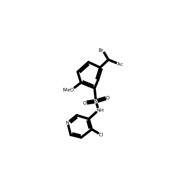 COc1ccc(C(Br)C(C)=O)cc1S(=O)(=O)Nc1cnccc1Cl